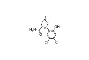 NC(=O)C1CNC[C@H]1c1cc(Cl)c(Cl)cc1O